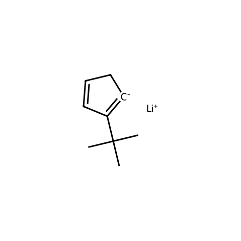 CC(C)(C)C1=[C-]CC=C1.[Li+]